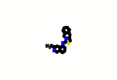 Cc1cc2c(N=C3SCC4Cc5ccccc5CN34)cccc2cn1